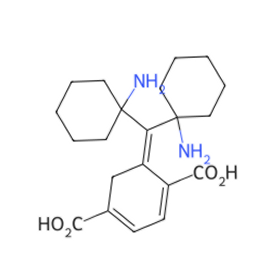 NC1(C(=C2CC(C(=O)O)=CC=C2C(=O)O)C2(N)CCCCC2)CCCCC1